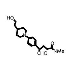 CNC(=O)CCC(C=O)c1ccc(N2CCC(CCO)CC2)cc1